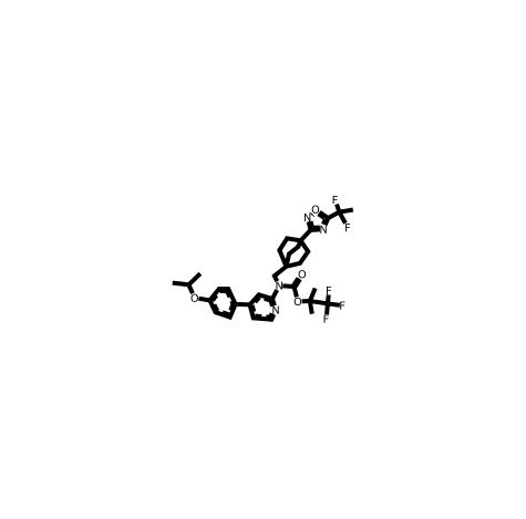 CC(C)Oc1ccc(-c2ccnc(N(CC34CCC(c5noc(C(C)(F)F)n5)(CC3)CC4)C(=O)OC(C)(C)C(F)(F)F)c2)cc1